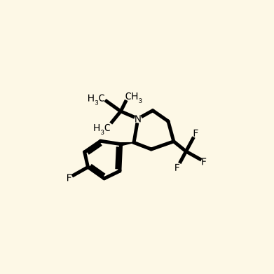 CC(C)(C)N1CCC(C(F)(F)F)C[C@H]1c1ccc(F)cc1